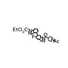 CCOC(=O)Cn1ncc2c(-c3cc4c(cnn4C(=O)C4CCN(C(C)=O)CC4)cc3F)cccc21